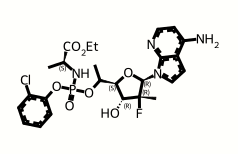 CCOC(=O)[C@H](C)NP(=O)(Oc1ccccc1Cl)OC(C)[C@H]1O[C@@H](n2ccc3c(N)ccnc32)[C@](C)(F)[C@@H]1O